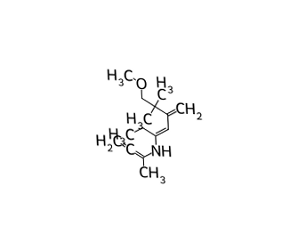 C=C=C(C)N/C(=C/C(=C)C(C)(C)COC)CC